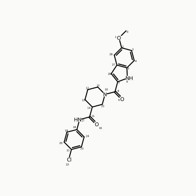 COc1ccc2[nH]c(C(=O)N3CCCC(C(=O)Nc4ccc(Cl)cc4)C3)cc2c1